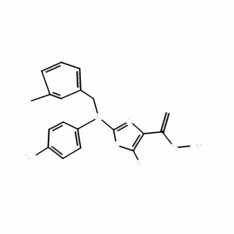 CSNC(=O)c1nc(N(Cc2cccc(F)c2)c2ccc(C#N)cc2)sc1Br